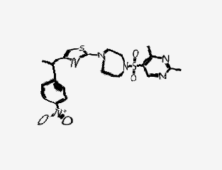 Cc1ncc(S(=O)(=O)N2CCN(c3nc(C(C)c4ccc([N+](=O)[O-])cc4)cs3)CC2)c(C)n1